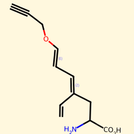 C#CCO/C=C/C=C(\C=C)CC(N)C(=O)O